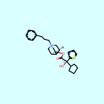 O=C(O[C@@H]1C[N+]2(CCCc3ccccc3)CCC1CC2)[C@](O)(c1cccs1)C1CCCC1